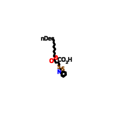 CCCCCCCCCCCCCCCCCCOC(=O)CC(CSc1nc2ccccc2s1)C(=O)O